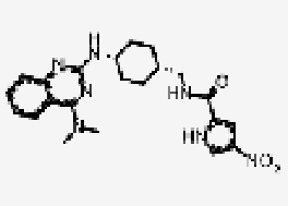 CN(C)c1nc(N[C@H]2CC[C@@H](CNC(=O)c3cc([N+](=O)[O-])c[nH]3)CC2)nc2ccccc12